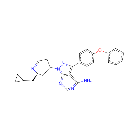 Nc1ncnc2c1c(-c1ccc(Oc3ccccc3)cc1)nn2C1CC=N[C@H](CC2CC2)C1